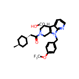 C[C@H]1CC[C@H](CC(=O)N2CCc3c(n(Cc4ccc(OC(F)(F)F)cc4)c4ncccc34)C2)CC1.O=C(O)O